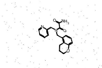 NC(=O)C(=O)N(Cc1ccccn1)Cc1cccc2c1CCCO2